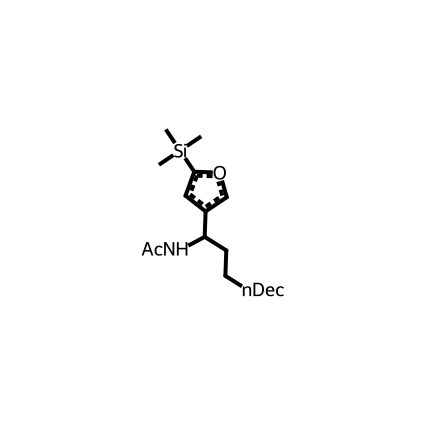 CCCCCCCCCCCCC(NC(C)=O)c1coc([Si](C)(C)C)c1